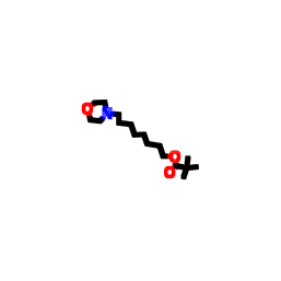 CC(C)(C)C(=O)OCCCCCCCCN1CCOCC1